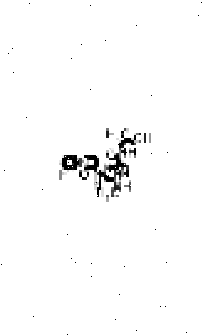 CNC1CC(Nc2cccn(-c3cccc(F)c3)c2=O)=Nc2c(C(=O)NCC(C)CO)cnn21